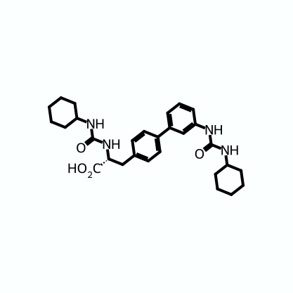 O=C(Nc1cccc(-c2ccc(C[C@@H](NC(=O)NC3CCCCC3)C(=O)O)cc2)c1)NC1CCCCC1